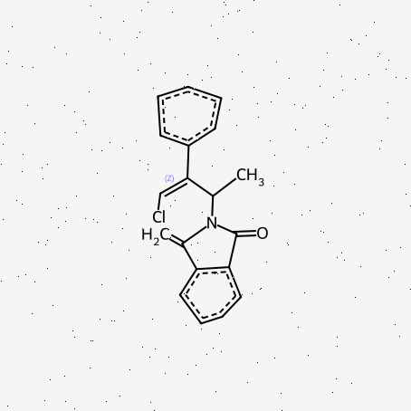 C=C1c2ccccc2C(=O)N1C(C)/C(=C\Cl)c1ccccc1